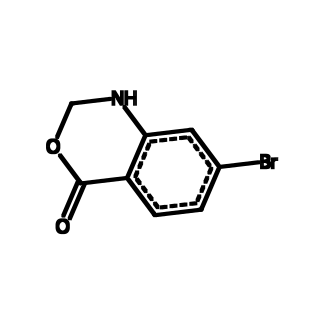 O=C1OCNc2cc(Br)ccc21